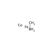 BC.[Co].[Fe]